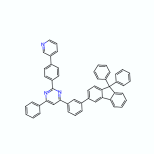 c1ccc(-c2cc(-c3cccc(-c4ccc5c(c4)-c4ccccc4C5(c4ccccc4)c4ccccc4)c3)nc(-c3ccc(-c4cccnc4)cc3)n2)cc1